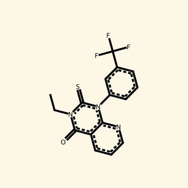 CCn1c(=O)c2cccnc2n(-c2cccc(C(F)(F)F)c2)c1=S